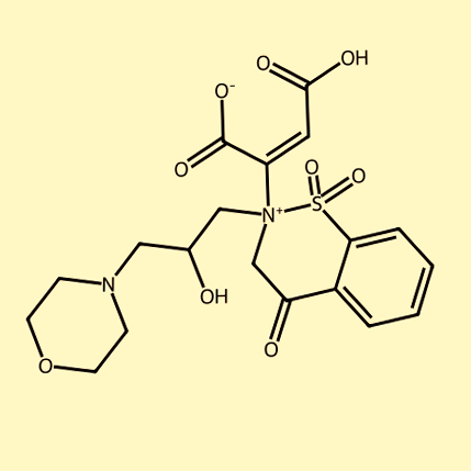 O=C(O)/C=C(\C(=O)[O-])[N+]1(CC(O)CN2CCOCC2)CC(=O)c2ccccc2S1(=O)=O